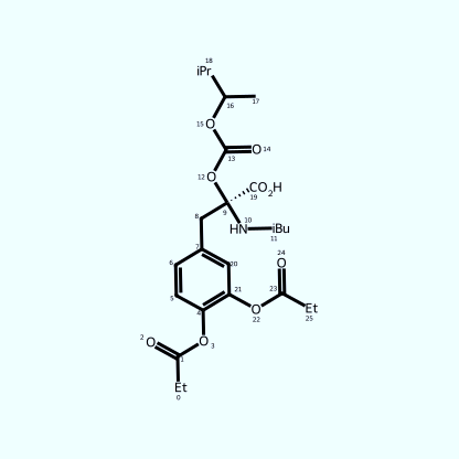 CCC(=O)Oc1ccc(C[C@](NC(C)CC)(OC(=O)OC(C)C(C)C)C(=O)O)cc1OC(=O)CC